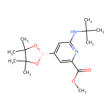 COC(=O)c1cc(B2OC(C)(C)C(C)(C)O2)cc(NC(C)(C)C)n1